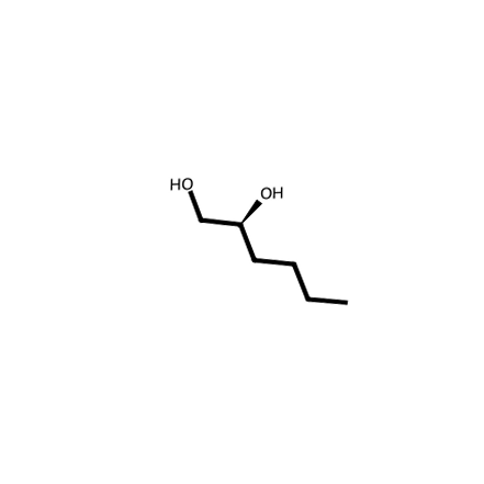 CCCC[C@H](O)CO